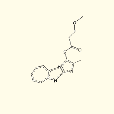 COCCC(=O)Sc1c(C)nc2nc3cccccc3n12